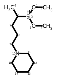 CO[SiH](OC)C(C)CCCN1CCCCC1